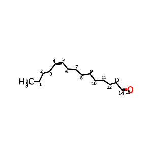 CCCC/C=C\CCCCCCCCC=O